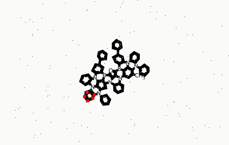 Cc1cc2c3c4c1N(c1ccccc1)c1ccccc1N4c1cc(-c4ccccc4)ccc1B3c1oc3c4c1N2c1ccccc1N4c1cc(N(c2ccccc2)c2ccccc2)c2c4c1B3c1cc(-c3ccccc3)ccc1N4c1ccccc1N2c1ccccc1